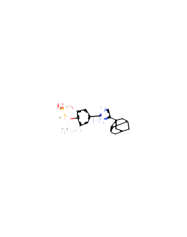 COc1cc(-c2ncc(C34CC5CC(CC(C5)C3)C4)[nH]2)cc(OC)c1OS(C)(=O)=O